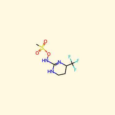 CS(=O)(=O)ONC1=NC(C(F)(F)F)CCN1